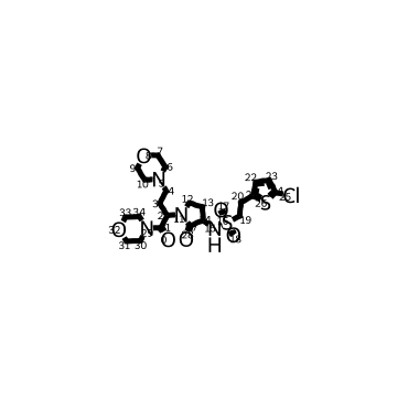 O=C(C(CCN1CCOCC1)N1CCC(NS(=O)(=O)CCc2ccc(Cl)s2)C1=O)N1CCOCC1